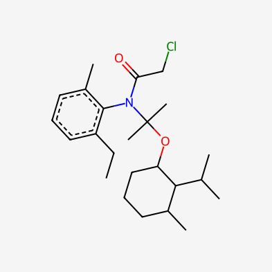 CCc1cccc(C)c1N(C(=O)CCl)C(C)(C)OC1CCCC(C)C1C(C)C